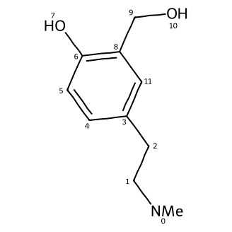 CNCCc1ccc(O)c(CO)c1